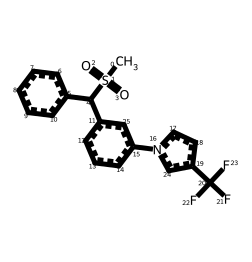 CS(=O)(=O)C(c1ccccc1)c1cccc(-n2ccc(C(F)(F)F)c2)c1